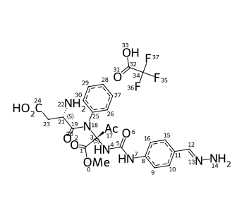 COC(=O)[C@](NC(=O)Nc1ccc(C=NN)cc1)(C(C)=O)N(C(=O)[C@@H](N)CC(=O)O)c1ccccc1.O=C(O)C(F)(F)F